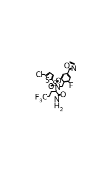 NC(=O)C(CCC(F)(F)F)N(Cc1ccc(-c2ncco2)cc1F)S(=O)(=O)c1ccc(Cl)s1